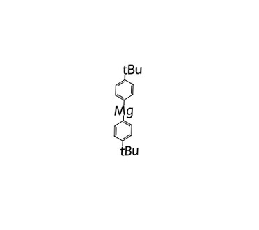 CC(C)(C)c1cc[c]([Mg][c]2ccc(C(C)(C)C)cc2)cc1